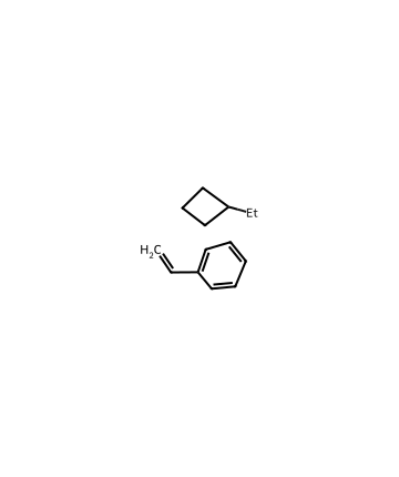 C=Cc1ccccc1.CCC1CCC1